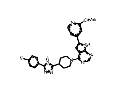 COc1cc(-c2cc3c(N4CCC(c5nnc(-c6ccc(F)cc6)[nH]5)CC4)ncnc3[nH]2)ccn1